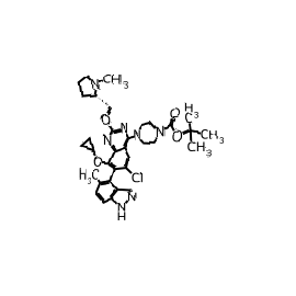 Cc1ccc2[nH]ncc2c1-c1c(Cl)cc2c(N3CCN(C(=O)OC(C)(C)C)CC3)nc(OC[C@@H]3CCCN3C)nc2c1OC1CC1